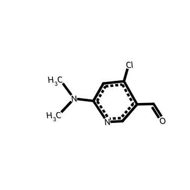 CN(C)c1cc(Cl)c(C=O)cn1